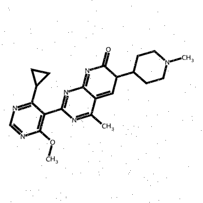 COc1ncnc(C2CC2)c1-c1nc(C)c2c(n1)=NC(=O)C(C1CCN(C)CC1)C=2